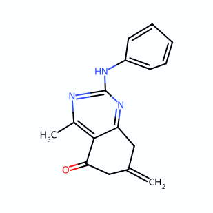 C=C1CC(=O)c2c(C)nc(Nc3ccccc3)nc2C1